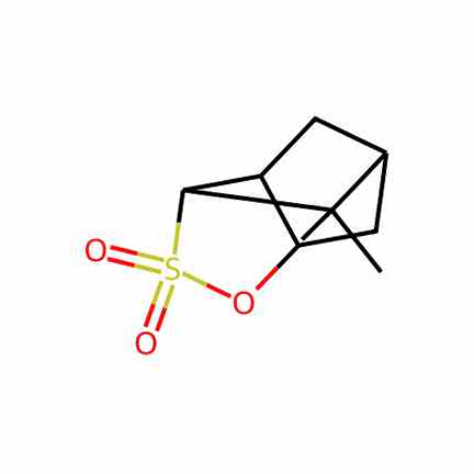 CC1(C)C2CC3OS(=O)(=O)C1C3C2